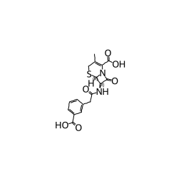 CC1=C(C(=O)O)N2C(=O)[C@@H](NC(=O)Cc3cccc(C(=O)O)c3)[C@H]2SC1